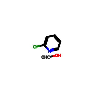 Clc1ccccn1.O=CO